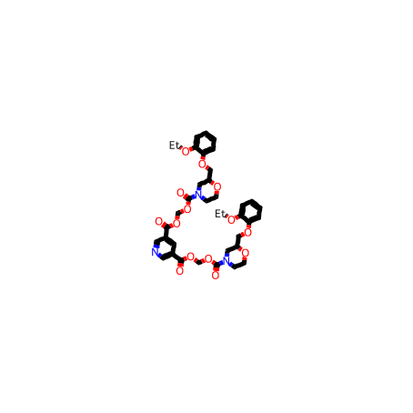 CCOc1ccccc1OCC1CN(C(=O)OCOC(=O)c2cncc(C(=O)OCOC(=O)N3CCOC(COc4ccccc4OCC)C3)c2)CCO1